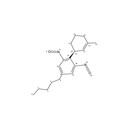 CCCCCc1cc(N=O)c([C@@H]2C=C(C)CCC2)c(N=O)c1